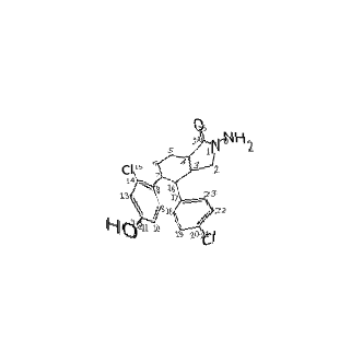 NN1CC2C(CCC(c3ccc(O)cc3Cl)C2c2ccc(Cl)cc2)C1=O